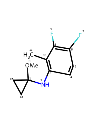 COC1(Nc2ccc(F)c(F)c2C)CC1